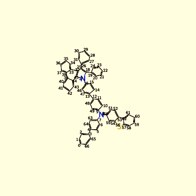 c1ccc(-c2ccc(N(c3ccc(-c4ccc(-n5c(-c6ccccc6)c(-c6ccccc6)c6c7ccccc7c7ccccc7c65)cc4)cc3)c3ccc4c(c3)sc3ccccc34)cc2)cc1